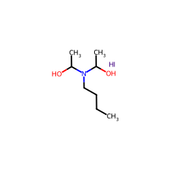 CCCCN(C(C)O)C(C)O.I